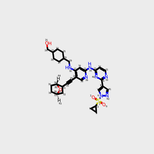 O=S(=O)(C1CC1)n1cc(-c2nccc(Nc3cc(NCC4CCC(CO)CC4)c(C#CC4C[C@H]5CC[C@H]4O5)cn3)n2)cn1